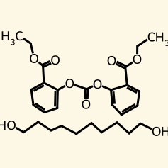 CCOC(=O)c1ccccc1OC(=O)Oc1ccccc1C(=O)OCC.OCCCCCCCCCCO